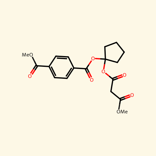 COC(=O)CC(=O)OC1(OC(=O)c2ccc(C(=O)OC)cc2)CCCC1